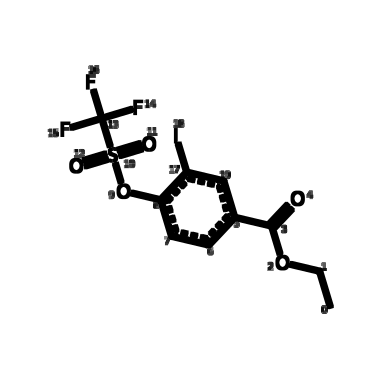 CCOC(=O)c1ccc(OS(=O)(=O)C(F)(F)F)c(I)c1